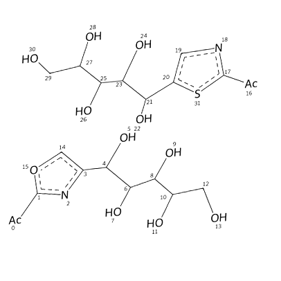 CC(=O)c1nc(C(O)C(O)C(O)C(O)CO)co1.CC(=O)c1ncc(C(O)C(O)C(O)C(O)CO)s1